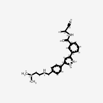 CN(C)CCNCc1ccc(-c2cc(-c3cccc(C(=O)NC(I)C#N)c3)no2)cc1